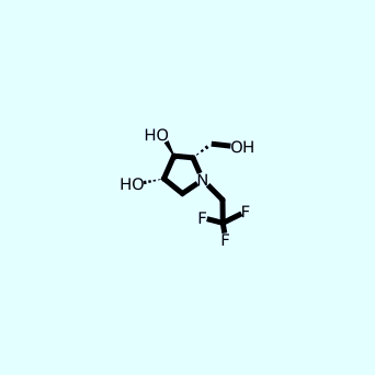 OC[C@H]1[C@H](O)[C@@H](O)CN1CC(F)(F)F